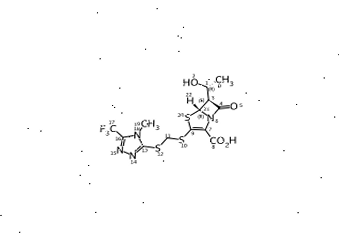 C[C@@H](O)[C@H]1C(=O)N2C(C(=O)O)=C(SCSc3nnc(C(F)(F)F)n3C)S[C@H]12